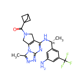 Cc1nnc2nc(N[C@H](C)c3cc(N)cc(C(F)(F)F)c3)c3c(n12)CN(C(=O)C12CC(C1)C2)C3